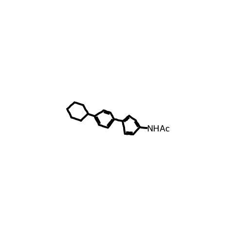 CC(=O)Nc1ccc(-c2ccc(C3CCCCC3)cc2)cc1